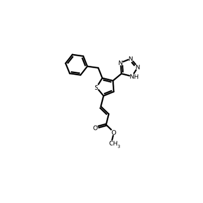 COC(=O)/C=C/c1cc(-c2nnn[nH]2)c(Cc2ccccc2)s1